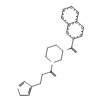 O=C(c1ccc2ccccc2c1)[C@@H]1CCCN(C(=O)CCC2=CCN=C2)C1